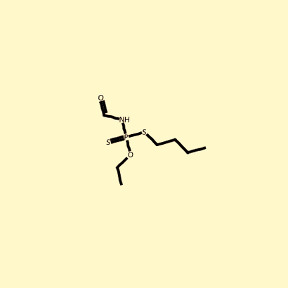 CCCCSP(=S)(NC=O)OCC